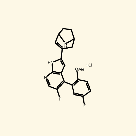 COc1ccc(F)cc1-c1c(F)cnc2[nH]c(C3=CC4CCC(C3)N4)cc12.Cl